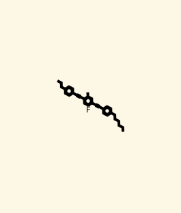 CCCCCCc1ccc(C#Cc2cc(C)c(C#Cc3ccc(CCC)cc3)cc2F)cc1